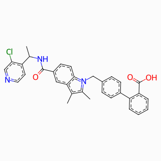 Cc1c(C)n(Cc2ccc(-c3ccccc3C(=O)O)cc2)c2ccc(C(=O)NC(C)c3ccncc3Cl)cc12